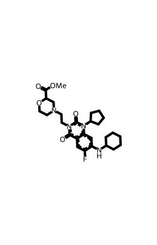 COC(=O)C1CN(CCn2c(=O)c3cc(F)c(NC4CCCCC4)cc3n(C3CCCC3)c2=O)CCO1